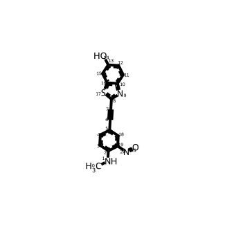 CNc1ccc(C#Cc2nc3ccc(O)cc3s2)cc1N=O